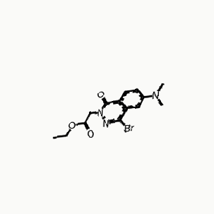 CCOC(=O)Cn1nc(Br)c2cc(N(C)C)ccc2c1=O